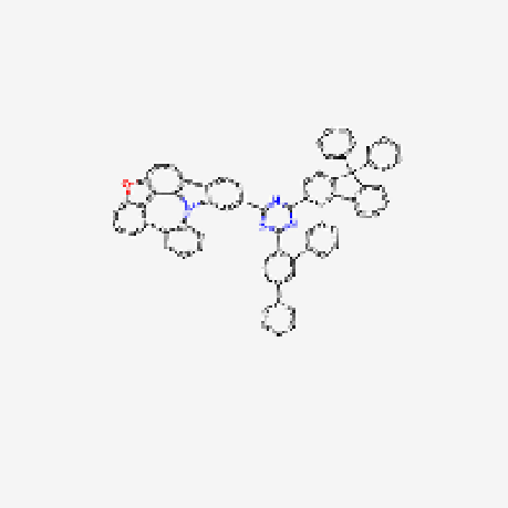 c1ccc(-c2ccc(-c3nc(-c4ccc5c(c4)-c4ccccc4C5(c4ccccc4)c4ccccc4)nc(-c4ccc5c6ccc7oc8cccc9c%10ccccc%10n(c5c4)c6c7c89)n3)c(-c3ccccc3)c2)cc1